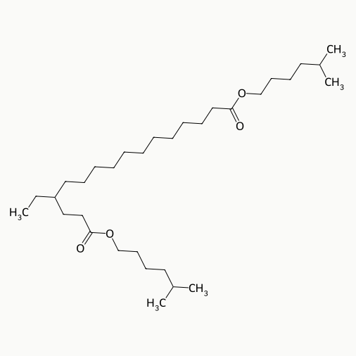 CCC(CCCCCCCCCCCC(=O)OCCCCC(C)C)CCC(=O)OCCCCC(C)C